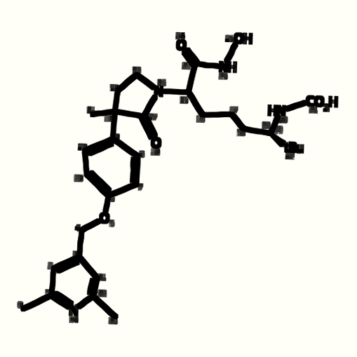 Cc1cc(COc2ccc(C3(C)CCN(C(CCC[C@@H](NC(=O)O)C(C)(C)C)C(=O)NO)C3=O)cc2)cc(C)n1